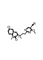 COc1nc(CC[C@@H](C)c2cc3cc(Cl)ccc3n(C)c2=O)ncc1C#N